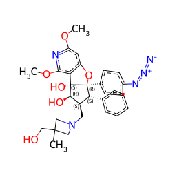 COc1cc2c(c(OC)n1)[C@]1(O)[C@H](O)[C@H](CN3CC(C)(CO)C3)[C@@H](c3ccccc3)[C@]1(c1ccc(N=[N+]=[N-])cc1)O2